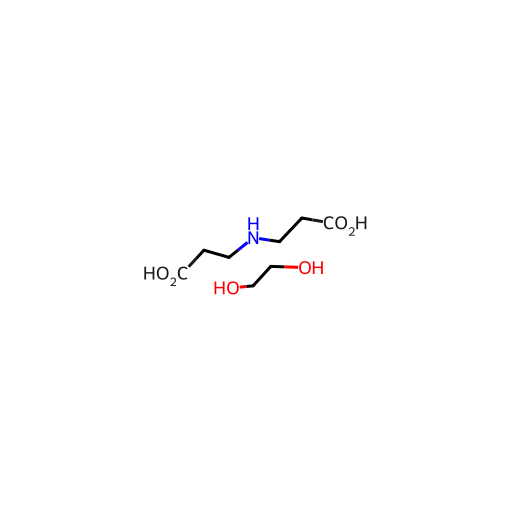 O=C(O)CCNCCC(=O)O.OCCO